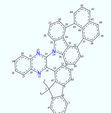 CC1(C)c2ccccc2-c2cccc(-c3nc4ccccc4nc3-n3c4cccc5c4c4c(cccc43)-c3cccc4cccc-5c34)c21